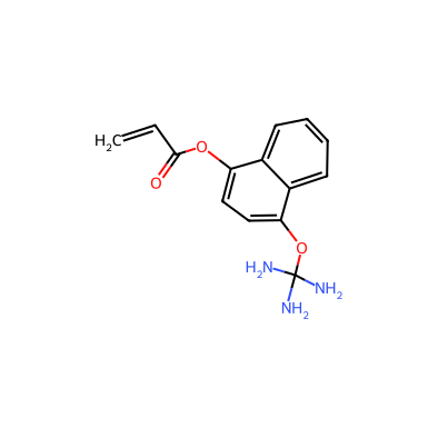 C=CC(=O)Oc1ccc(OC(N)(N)N)c2ccccc12